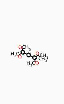 CC(=O)c1cc(C(C)=O)cc(-c2ccc(-c3cc(C(C)=O)cc(C(=O)C(C)C)c3)cc2)c1